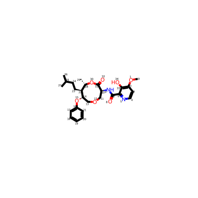 COc1ccnc(C(=O)N[C@H]2COC[C@H](Oc3ccccc3)[C@@H](CCC(C)C)[C@H](C)OC2=O)c1O